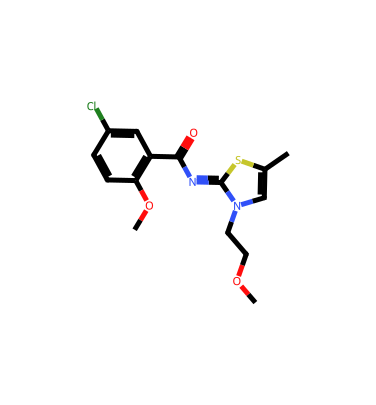 COCCn1cc(C)s/c1=N\C(=O)c1cc(Cl)ccc1OC